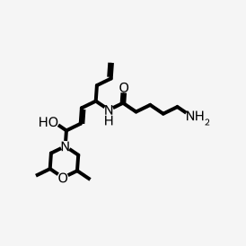 C=CCC(/C=C/C(O)N1CC(C)OC(C)C1)NC(=O)CCCCN